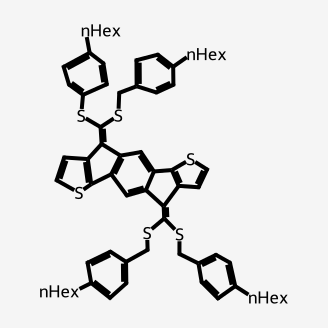 CCCCCCc1ccc(CSC(SCc2ccc(CCCCCC)cc2)=C2c3cc4c(cc3-c3sccc32)/C(=C(\SCc2ccc(CCCCCC)cc2)Sc2ccc(CCCCCC)cc2)c2ccsc2-4)cc1